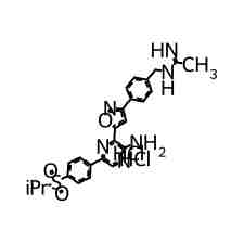 CC(=N)NCc1ccc(-c2cc(-c3nc(-c4ccc(S(=O)(=O)C(C)C)cc4)cnc3N)on2)cc1.Cl.Cl